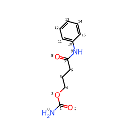 NC(=O)OCCCC(=O)Nc1ccccc1